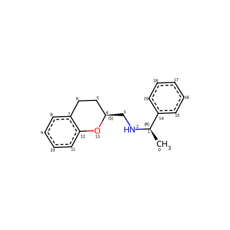 C[C@@H](NC[C@@H]1CCc2ccccc2O1)c1ccccc1